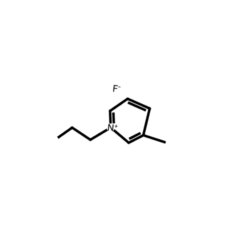 CCC[n+]1cccc(C)c1.[F-]